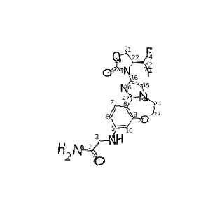 NC(=O)CNc1ccc2c(c1)OCCn1cc(N3C(=O)OC[C@H]3C(F)F)nc1-2